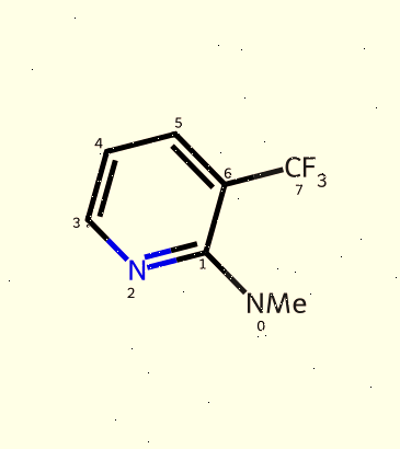 CNc1n[c]ccc1C(F)(F)F